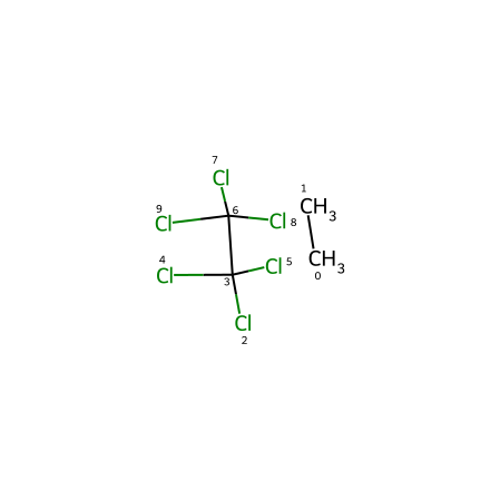 CC.ClC(Cl)(Cl)C(Cl)(Cl)Cl